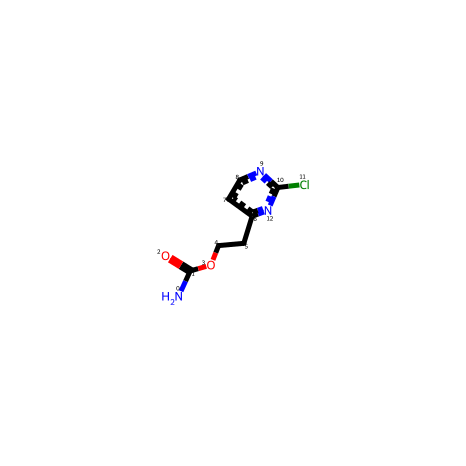 NC(=O)OCCc1ccnc(Cl)n1